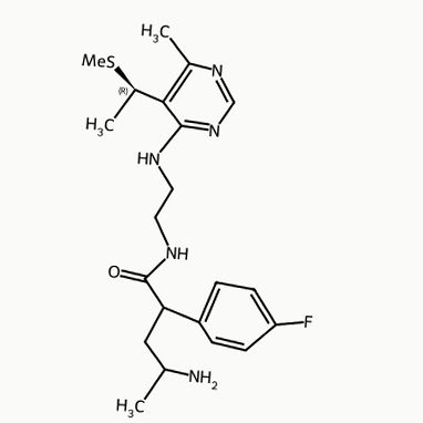 CS[C@H](C)c1c(C)ncnc1NCCNC(=O)C(CC(C)N)c1ccc(F)cc1